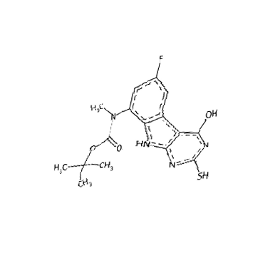 CN(C(=O)OC(C)(C)C)c1cc(F)cc2c1[nH]c1nc(S)nc(O)c12